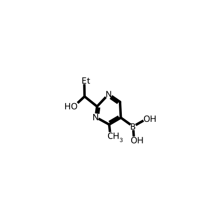 CCC(O)c1ncc(B(O)O)c(C)n1